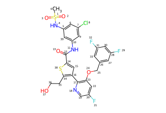 CS(=O)(=O)Nc1cc(Cl)cc(NC(=O)c2cc(-c3ncc(F)cc3OCc3cc(F)cc(F)c3)c(CCO)s2)c1